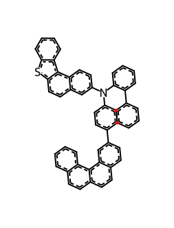 c1ccc(-c2ccccc2N(c2ccc(-c3ccc4ccc5ccc6ccccc6c5c4c3)cc2)c2ccc3c(ccc4sc5ccccc5c43)c2)cc1